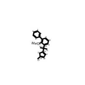 COc1c(-c2ccccc2)cccc1C(C)(C)C1=CC=C(C)C1